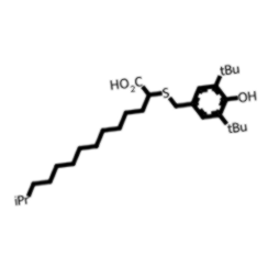 CC(C)CCCCCCCCCCC(SCc1cc(C(C)(C)C)c(O)c(C(C)(C)C)c1)C(=O)O